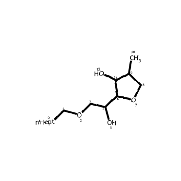 CCCCCCCCOCC(O)C1OCC(C)C1O